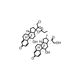 CCC(=O)O[C@]1(C(=O)CCl)[C@@H](C)C[C@H]2[C@@H]3CCC4=CC(=O)C=C[C@]4(C)[C@@]3(F)[C@@H](O)C[C@@]21C.C[C@@H]1C[C@H]2[C@@H]3CCC4=CC(=O)C=C[C@]4(C)[C@@]3(F)C(O)C[C@]2(C)[C@H]1C(=O)CO